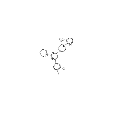 Fc1ccc(-c2cc(N3CCN(c4ncccc4C(F)(F)F)CC3)nc(N3CCCCC3)n2)cc1Cl